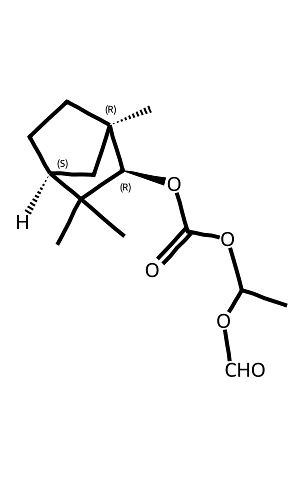 CC(OC=O)OC(=O)O[C@H]1C(C)(C)[C@H]2CC[C@]1(C)C2